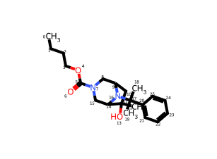 CCCCOC(=O)N1CC2CC(C)(O)C(C1)N2C(C)(C)c1ccccc1